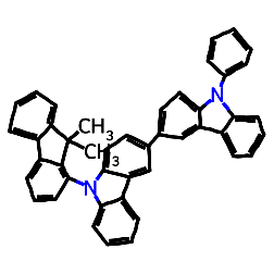 CC1(C)c2ccccc2-c2cccc(-n3c4ccccc4c4cc(-c5ccc6c(c5)c5ccccc5n6-c5ccccc5)ccc43)c21